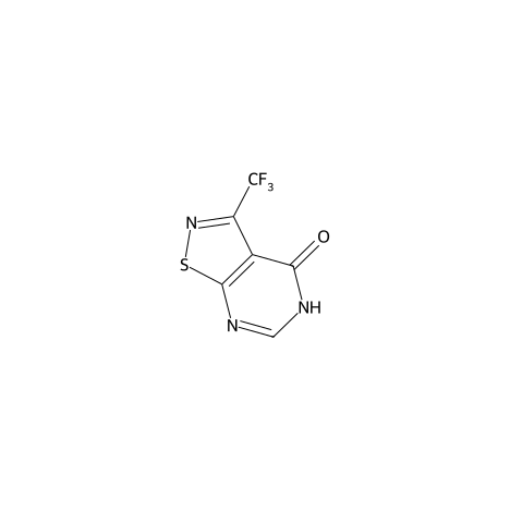 O=c1[nH]cnc2snc(C(F)(F)F)c12